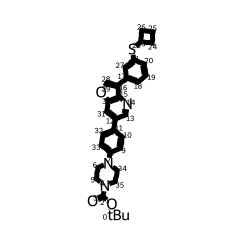 CC(C)(C)OC(=O)N1CCN(c2ccc(-c3cnc4c(-c5cccc(SC6CCC6)c5)coc4c3)cc2)CC1